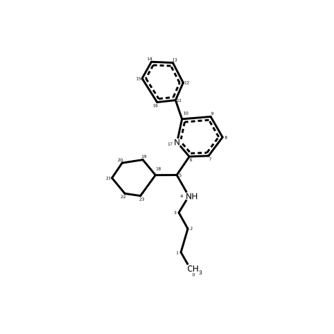 CCCCNC(c1cccc(-c2ccccc2)n1)C1CCCCC1